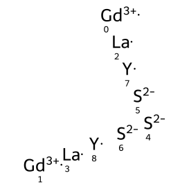 [Gd+3].[Gd+3].[La].[La].[S-2].[S-2].[S-2].[Y].[Y]